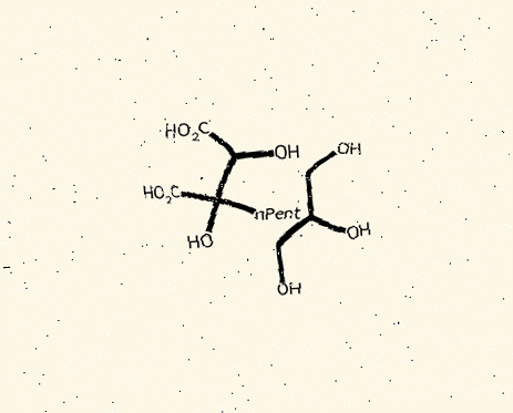 CCCCCC(O)(C(=O)O)C(O)C(=O)O.OCC(O)CO